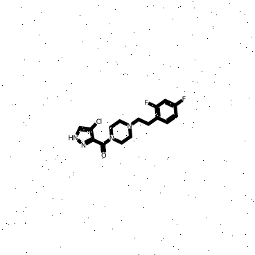 O=C(c1n[nH]cc1Cl)N1CCN(CCc2ccc(F)cc2F)CC1